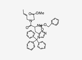 CC=CCN(CC(=O)OC)C(=O)C(Cc1cncn1C(c1ccccc1)(c1ccccc1)c1ccccc1)NC(=O)OCc1ccccc1